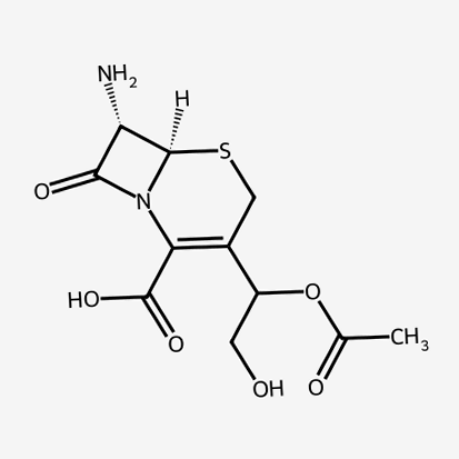 CC(=O)OC(CO)C1=C(C(=O)O)N2C(=O)[C@H](N)[C@H]2SC1